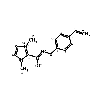 C=Cc1ccc(C/N=C(\[O-])c2n(C)cc[n+]2C)cc1